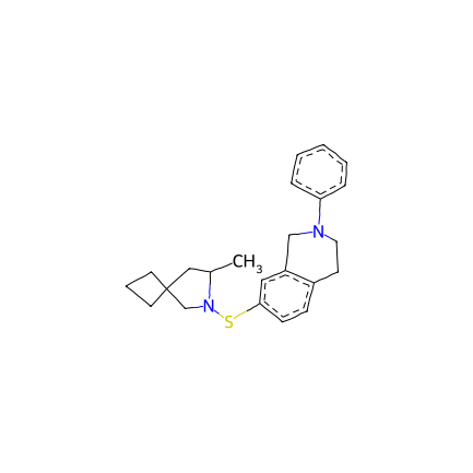 CC1CC2(CCC2)CN1Sc1ccc2c(c1)CN(c1ccccc1)CC2